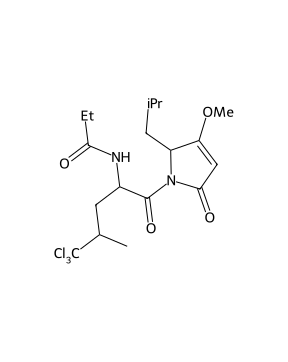 CCC(=O)NC(CC(C)C(Cl)(Cl)Cl)C(=O)N1C(=O)C=C(OC)C1CC(C)C